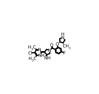 CC1=N/C(=C2\CN(C(=O)c3ccc(F)cc3O[C@H]3CNC[C@@H]3C)CC2=N)NC(C)=C1Cl